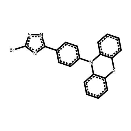 Brc1nc(-c2ccc(N3c4ccccc4Sc4ccccc43)cc2)ns1